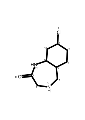 O=C1CNCC2CCC(Cl)CC2N1